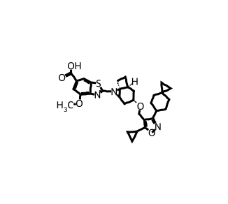 COc1cc(C(=O)O)cc2sc(N3C4C[C@@H](OCc5c(C6CCC7(CC6)CC7)noc5C5CC5)C[C@@H]5CC[C@@]453)nc12